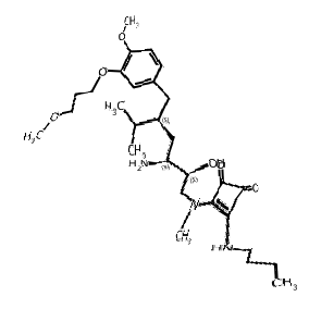 CCCCNc1c(N(C)C[C@H](O)[C@@H](N)C[C@H](Cc2ccc(OC)c(OCCCOC)c2)C(C)C)c(=O)c1=O